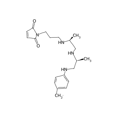 [CH2]c1ccc(NC[C@H](C)NC[C@H](C)NCCCN2C(=O)C=CC2=O)cc1